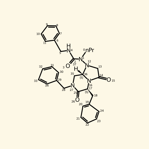 CCCN(C(=O)NCc1ccccc1)N1CC(=O)N2[C@@H](Cc3ccccc3)C(=O)N(Cc3ccccc3)C[C@@H]21